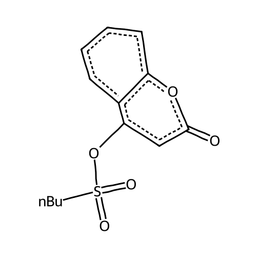 CCCCS(=O)(=O)Oc1cc(=O)oc2ccccc12